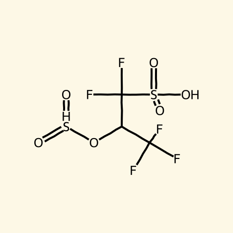 O=[SH](=O)OC(C(F)(F)F)C(F)(F)S(=O)(=O)O